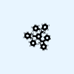 c1ccc(C2C(c3cc(-c4nc5ccccc5n4-c4ccccc4)cc(-c4nc5ccccc5n4-c4ccccc4)c3)=Nc3ccccc32)cc1